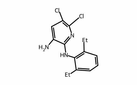 CCc1cccc(CC)c1Nc1nc(Cl)c(Cl)cc1N